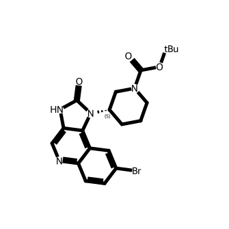 CC(C)(C)OC(=O)N1CCC[C@H](n2c(=O)[nH]c3cnc4ccc(Br)cc4c32)C1